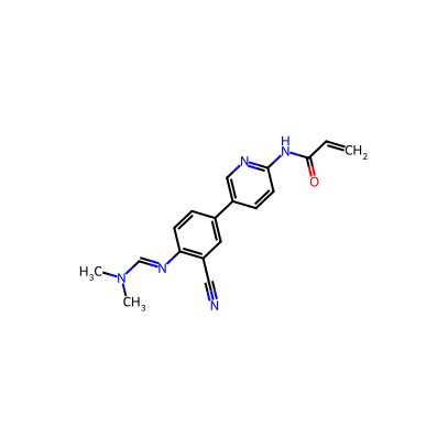 C=CC(=O)Nc1ccc(-c2ccc(N=CN(C)C)c(C#N)c2)cn1